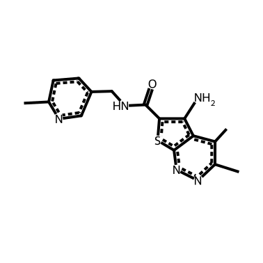 Cc1ccc(CNC(=O)c2sc3nnc(C)c(C)c3c2N)cn1